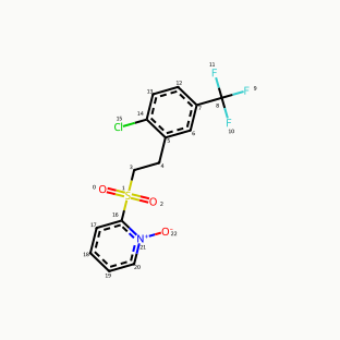 O=S(=O)(CCc1cc(C(F)(F)F)ccc1Cl)c1cccc[n+]1[O-]